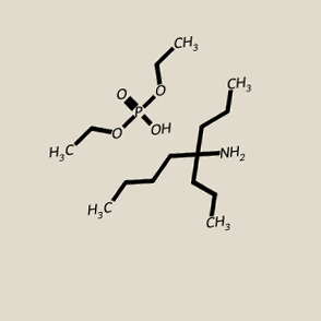 CCCCC(N)(CCC)CCC.CCOP(=O)(O)OCC